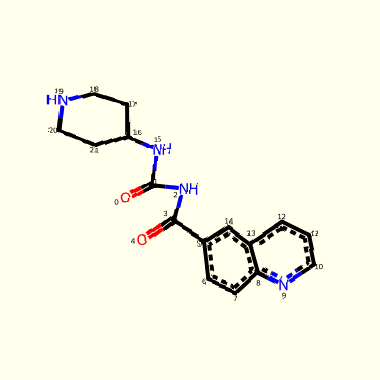 O=C(NC(=O)c1ccc2ncccc2c1)NC1CCNCC1